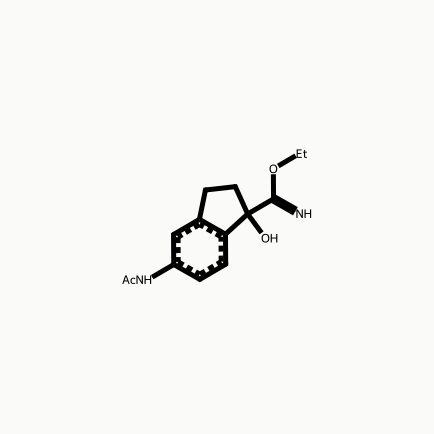 CCOC(=N)C1(O)CCc2cc(NC(C)=O)ccc21